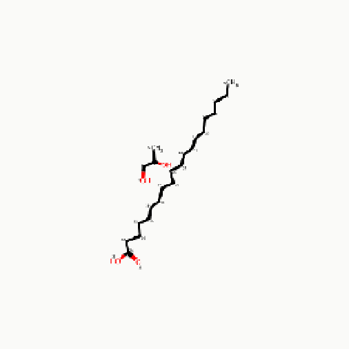 CC(O)CO.CCCCCCCCCCCCCCCCCCCC(=O)O